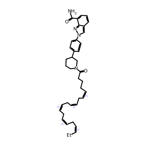 CC/C=C\C/C=C\C/C=C\C/C=C\C/C=C\CCCC(=O)N1CCCC(c2ccc(-n3cc4cccc(C(N)=O)c4n3)cc2)C1